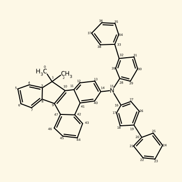 CC1(C)c2ccccc2-c2c1c1ccc(N(c3ccc(-c4ccccc4)cc3)c3cccc(-c4ccccc4)c3)cc1c1ccccc21